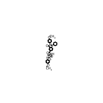 CCOc1ccc2nc(S(=O)(=O)NC(=O)c3ccc4c(c3)c(=O)n(-c3ccc(OC)cc3)n4C3CCCCC3)sc2c1